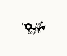 O=C(O)c1cc(F)ccc1CNC(=O)C1([SH](=O)=O)CC1